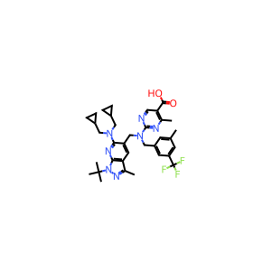 Cc1cc(CN(Cc2cc3c(C)nn(C(C)(C)C)c3nc2N(CC2CC2)CC2CC2)c2ncc(C(=O)O)c(C)n2)cc(C(F)(F)F)c1